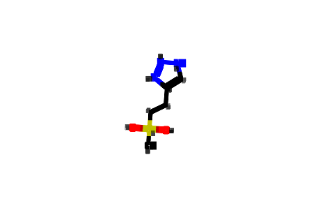 N#CS(=O)(=O)CCc1c[nH]nn1